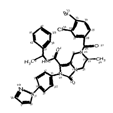 CC(NC(=O)c1c2n(c(=O)n1-c1ccc(-n3cccn3)cc1)C[C@H](C)N(C(=O)c1ccc(Br)c(Cl)c1)C2)c1ccccc1